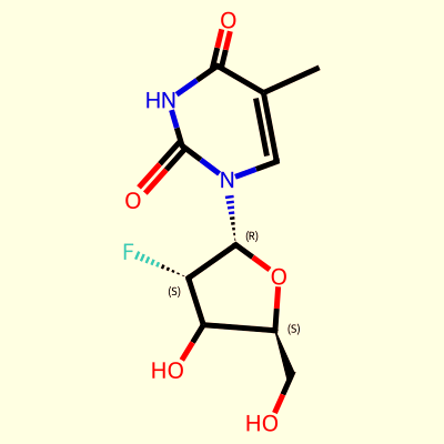 Cc1cn([C@@H]2O[C@@H](CO)C(O)[C@@H]2F)c(=O)[nH]c1=O